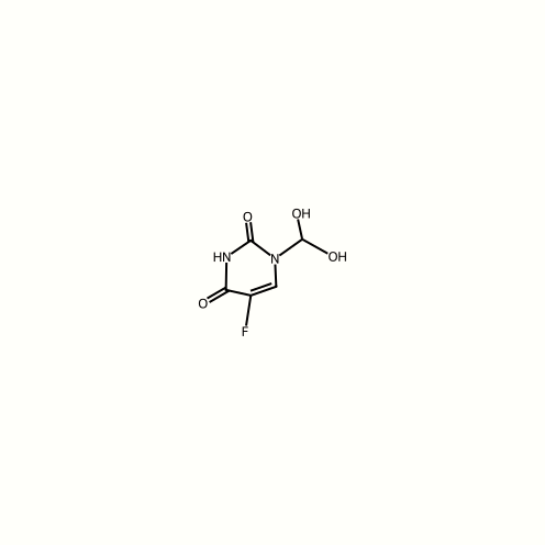 O=c1[nH]c(=O)n(C(O)O)cc1F